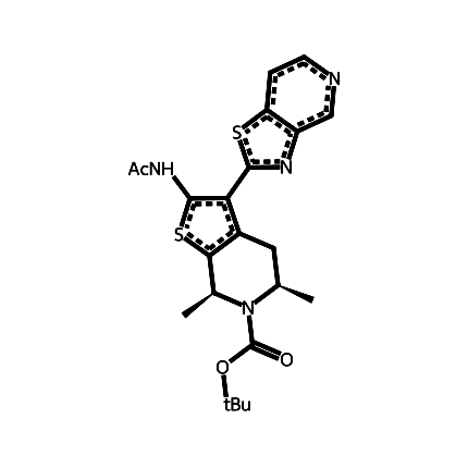 CC(=O)Nc1sc2c(c1-c1nc3cnccc3s1)C[C@@H](C)N(C(=O)OC(C)(C)C)[C@H]2C